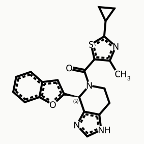 Cc1nc(C2CC2)sc1C(=O)N1CCc2[nH]cnc2[C@H]1c1cc2ccccc2o1